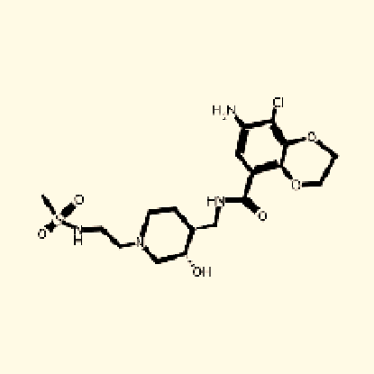 CS(=O)(=O)NCCN1CC[C@@H](CNC(=O)c2cc(N)c(Cl)c3c2OCCO3)[C@H](O)C1